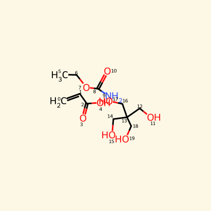 C=CC(=O)O.CCOC(N)=O.OCC(CO)(CO)CO